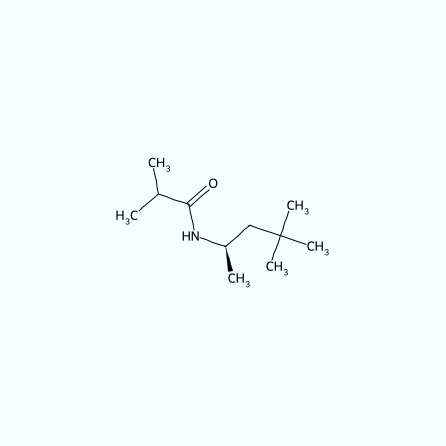 CC(C)C(=O)N[C@H](C)CC(C)(C)C